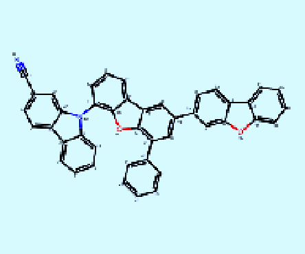 N#Cc1ccc2c3ccccc3n(-c3cccc4c3oc3c(-c5ccccc5)cc(-c5ccc6c(c5)oc5ccccc56)cc34)c2c1